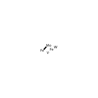 [Fe].[Fe][Mo].[V].[W]